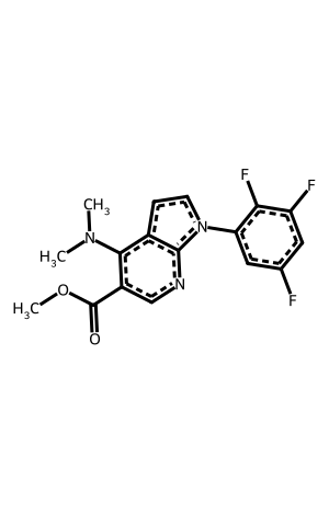 COC(=O)c1cnc2c(ccn2-c2cc(F)cc(F)c2F)c1N(C)C